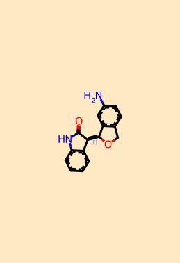 Nc1ccc2c(c1)/C(=C1\C(=O)Nc3ccccc31)OC2